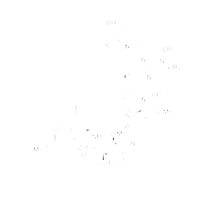 CC[C@H](C)[C@@H]([C@@H](CC(=O)N1CCCC1[C@H](OC)[C@@H](C)C(=O)N[C@@H](Cc1ccccc1)P(=O)(O)CC(=O)OC)OC)N(C)C(=O)C(N=C(N(C)C)N1CCN(C(=O)OC(C)(C)C)CC1)C(C)C